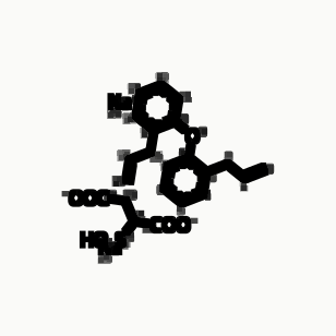 C=CCc1ccccc1Oc1ccccc1CC=C.O=C([O-])CC(C(=O)[O-])S(=O)(=O)O.[Na+].[Na+]